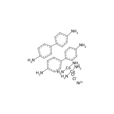 Nc1ccc(-c2ccc(N)cc2)cc1.Nc1ccc(-c2ccc(N)cc2)cc1.[Cl-].[Cl-].[NH2][Co][NH2].[NH2][Co][NH2].[Ni+2]